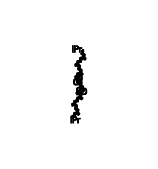 CC(=CC(C)OC(=O)CCCC(=O)OC(C)C=C(C)CCCC(C)CCCC(C)CCCC(C)C)CCCC(C)CCCC(C)CCCC(C)C